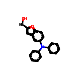 OBc1cc2cc(N(c3ccccc3)c3ccccc3)ccc2o1